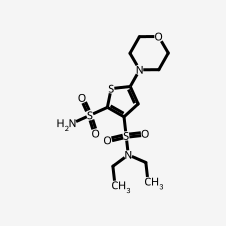 CCN(CC)S(=O)(=O)c1cc(N2CCOCC2)sc1S(N)(=O)=O